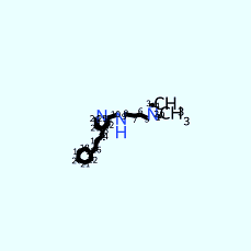 CCN(CC)CCCCNCc1cc([C]CCC2CCCCC2)ccn1